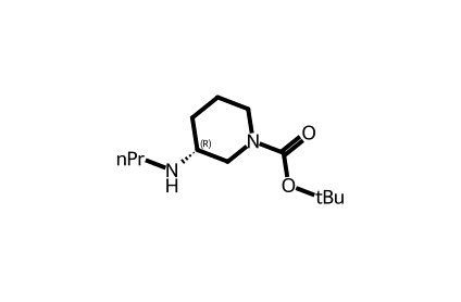 CCCN[C@@H]1CCCN(C(=O)OC(C)(C)C)C1